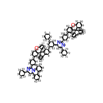 c1ccc(-c2cc(-c3ccc4c(c3)C3(c5ccccc5Oc5ccc(-c6ccc(-c7nc(-c8ccccc8)cc(-c8ccccc8-c8ccccc8)n7)cc6)cc53)c3ccccc3-4)cc(-c3cc(-c4ccccc4)nc(-c4ccc(-c5ccc6c(c5)C5(c7ccccc7O6)c6ccccc6-c6ccccc65)cc4)n3)c2)cc1